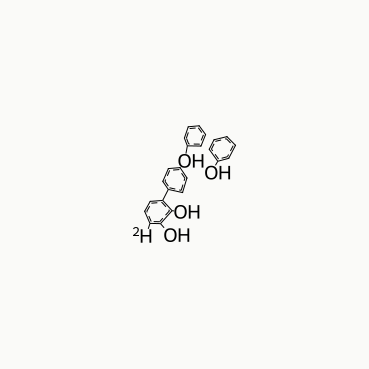 Oc1ccccc1.Oc1ccccc1.[2H]c1ccc(-c2ccccc2)c(O)c1O